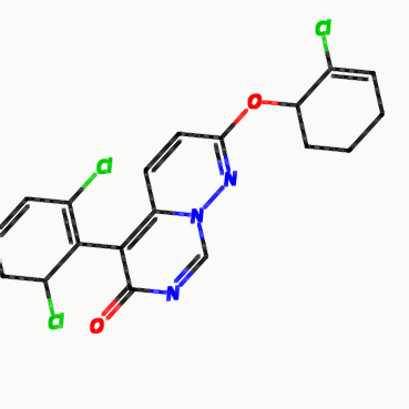 O=c1ncn2nc(OC3CCCC=C3Cl)ccc2c1C1=C(Cl)C=CCC1Cl